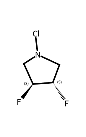 F[C@H]1CN(Cl)C[C@@H]1F